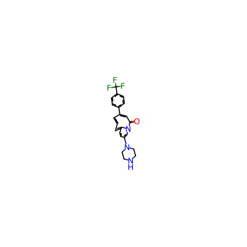 O=C1\C=C(c2ccc(C(F)(F)F)cc2)/C=C/C=C2\C=CC(N3CCNCC3)=CN12